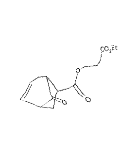 CCOC(=O)COC(=O)C1CC2C=CC1C2=O